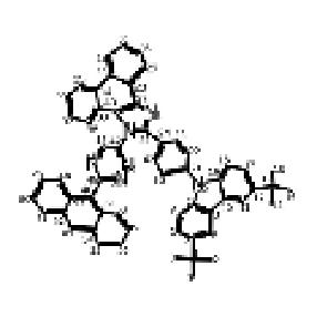 CC(C)(C)c1ccc2c(c1)c1cc(C(C)(C)C)ccc1n2-c1ccc(-c2nc3c4ccccc4c4ccccc4c3n2-c2cnc(-c3c4ccccc4cc4ccccc34)nn2)cc1